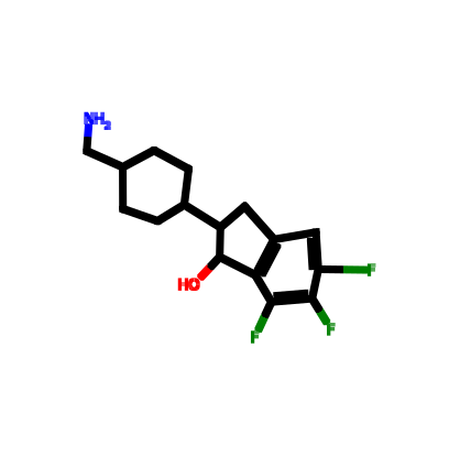 NCC1CCC(C2Cc3cc(F)c(F)c(F)c3C2O)CC1